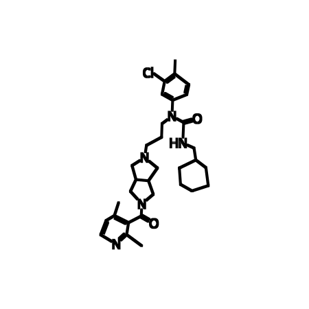 Cc1ccc(N(CCCN2CC3CN(C(=O)c4c(C)ccnc4C)CC3C2)C(=O)NCC2CCCCC2)cc1Cl